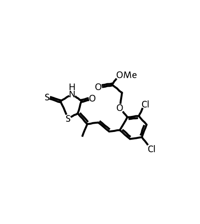 COC(=O)COc1c(Cl)cc(Cl)cc1/C=C/C(C)=C1/SC(=S)NC1=O